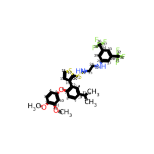 COc1ccc(Oc2ccc(C(C)C)cc2-c2ccsc2SNCCNc2cc(C(F)(F)F)cc(C(F)(F)F)c2)cc1OC